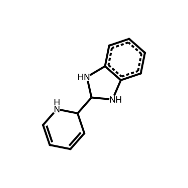 C1=CNC(C2Nc3ccccc3N2)C=C1